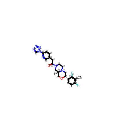 N#Cc1c(F)ccc([C@H]2CN3CCN(C(=O)Cc4ccc(-n5cnnn5)nc4)C[C@H]3CO2)c1F